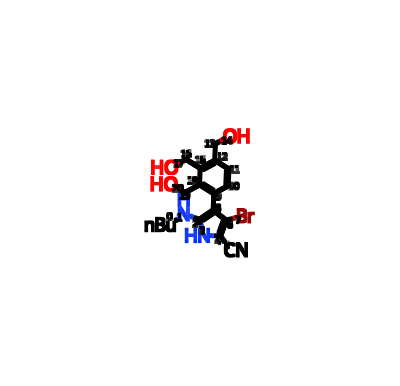 CCCCNc1[nH]c(C#N)c(Br)c1-c1ccc(CO)c(CO)c1CO